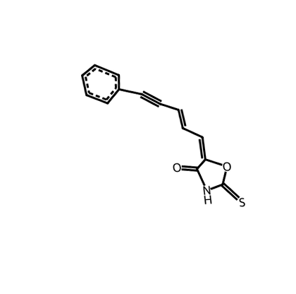 O=C1NC(=S)O/C1=C/C=C/C#Cc1ccccc1